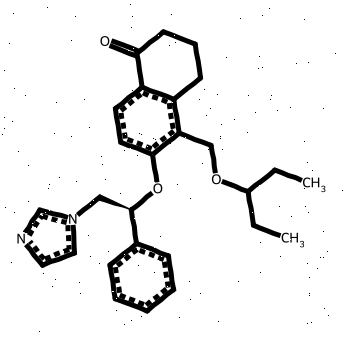 CCC(CC)OCc1c(O[C@H](Cn2ccnc2)c2ccccc2)ccc2c1CCCC2=O